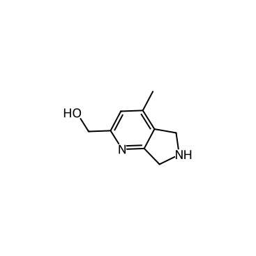 Cc1cc(CO)nc2c1CNC2